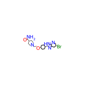 NC(=O)C1CCN(CCOc2ccc(-c3nc4cc(Br)cnc4[nH]3)cc2)CC1